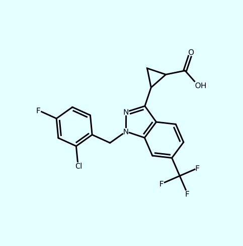 O=C(O)C1CC1c1nn(Cc2ccc(F)cc2Cl)c2cc(C(F)(F)F)ccc12